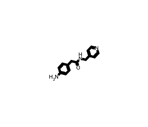 Nc1ccc(CC(=O)NCc2ccncc2)cc1